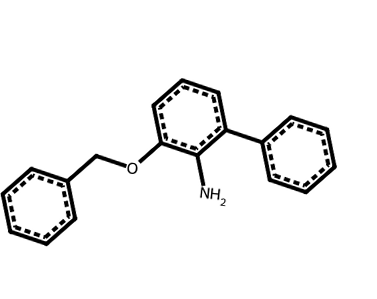 Nc1c(OCc2ccccc2)cccc1-c1ccccc1